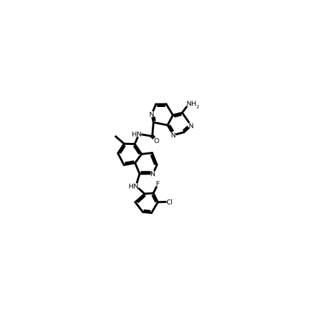 Cc1ccc2c(Nc3cccc(Cl)c3F)nccc2c1NC(=O)c1nccc2c(N)ncnc12